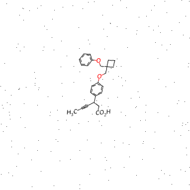 CC#CC(CC(=O)O)c1ccc(OCC2(COc3ccccc3)CCC2)cc1